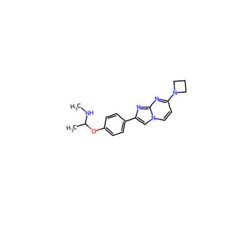 CNC(C)Oc1ccc(-c2cn3ccc(N4CCC4)nc3n2)cc1